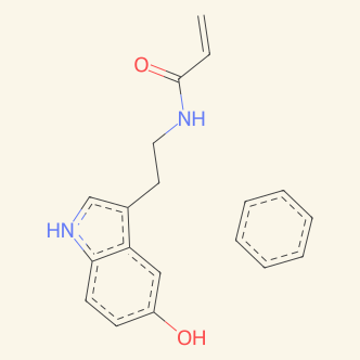 C=CC(=O)NCCc1c[nH]c2ccc(O)cc12.c1ccccc1